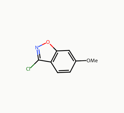 COc1ccc2c(Cl)noc2c1